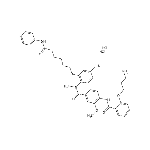 COc1cc(C(=O)N(C)c2ccc(C)cc2OCCCCCC(=O)Nc2ccncc2)ccc1NC(=O)c1ccccc1OCCCN.Cl.Cl